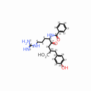 N=C(N)NCCCC(NC(=O)c1ccccc1)C(=O)CC(Cc1ccc(O)cc1)C(=O)O